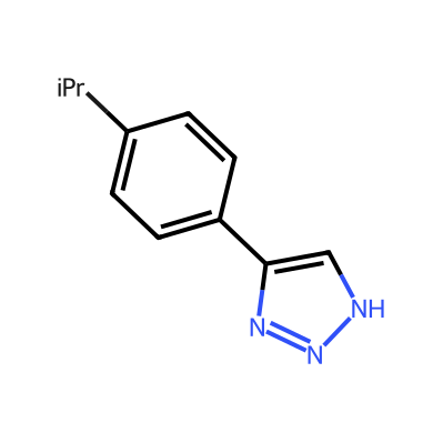 CC(C)c1ccc(-c2c[nH]nn2)cc1